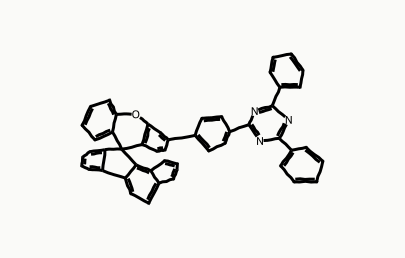 c1ccc(-c2nc(-c3ccccc3)nc(-c3ccc(-c4ccc5c(c4)Oc4ccccc4C54c5ccccc5-c5ccc6ccccc6c54)cc3)n2)cc1